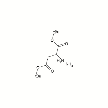 CC(C)(C)OC(=O)CC(N)C(=O)OC(C)(C)C.N